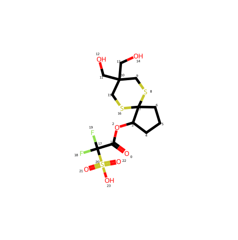 O=C(OC1CCCC12SCC(CO)(CO)CS2)C(F)(F)S(=O)(=O)O